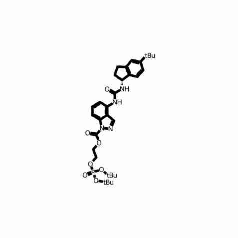 CC(C)(C)OP(=O)(OCCOC(=O)n1ncc2c(NC(=O)N[C@@H]3CCc4cc(C(C)(C)C)ccc43)cccc21)OC(C)(C)C